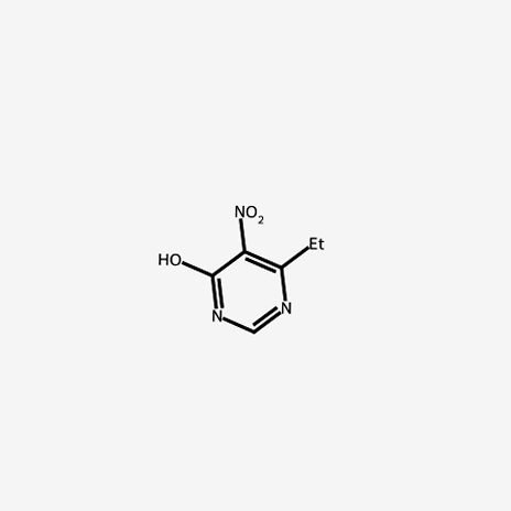 CCc1ncnc(O)c1[N+](=O)[O-]